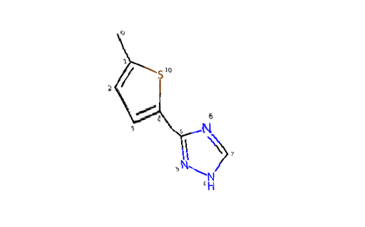 Cc1ccc(-c2nc[nH]n2)s1